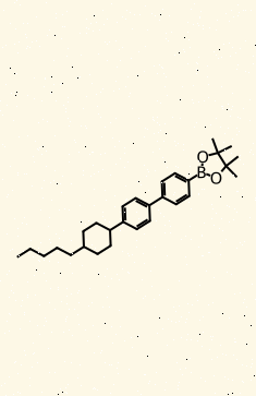 CCCCCC1CCC(c2ccc(-c3ccc(B4OC(C)(C)C(C)(C)O4)cc3)cc2)CC1